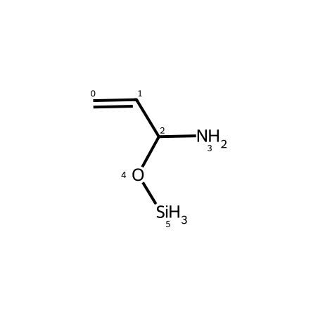 C=CC(N)O[SiH3]